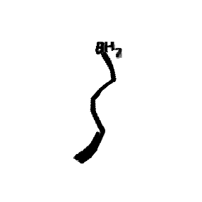 BCCC=C